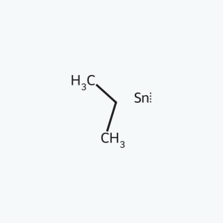 CCC.[Sn]